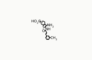 Cc1cccc(/C=C/C(=O)Nc2sc3c(c2N)CCN(C(=O)O)C3)c1